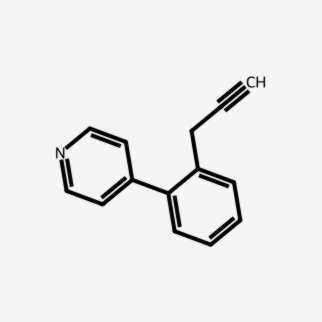 C#CCc1ccccc1-c1ccncc1